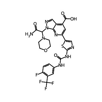 NC(=O)C(N1CCOCC1)n1ncc2c(C(=O)O)cc(-c3cnc(NC(=O)Nc4ccc(F)c(C(F)(F)F)c4)s3)nc21